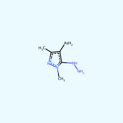 Cc1nn(C)c(NN)c1[AsH2]